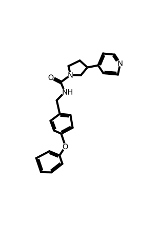 O=C(NCc1ccc(Oc2ccccc2)cc1)N1CCC(c2ccncc2)C1